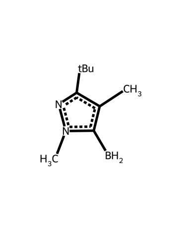 Bc1c(C)c(C(C)(C)C)nn1C